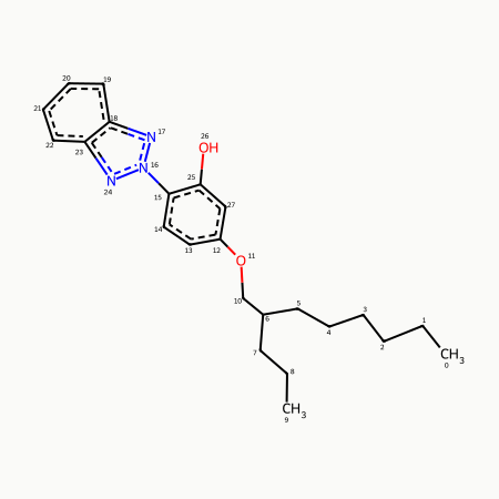 CCCCCCC(CCC)COc1ccc(-n2nc3ccccc3n2)c(O)c1